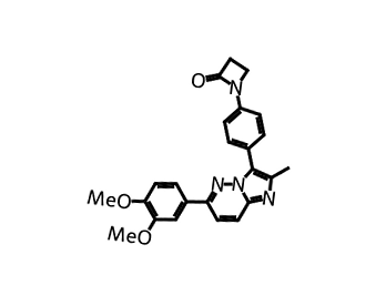 COc1ccc(-c2ccc3nc(C)c(-c4ccc(N5CCC5=O)cc4)n3n2)cc1OC